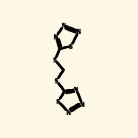 C(Sc1nnns1)Sc1nnns1